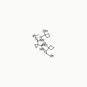 CC(C)C[C@@H](NC(=O)C1(C(=O)N[C@H](CC(C)C)C2(O)CCC2)CC1)C1(O)CCC1